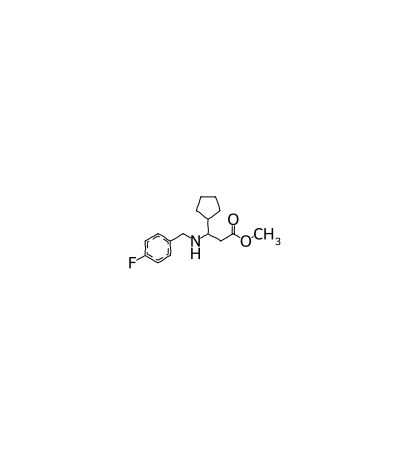 COC(=O)CC(NCc1ccc(F)cc1)C1CCCC1